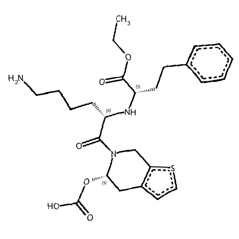 CCOC(=O)[C@H](CCc1ccccc1)N[C@@H](CCCCN)C(=O)N1Cc2sccc2C[C@@H]1OC(=O)O